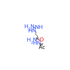 CC(=O)[C@H](C)NC(=O)[C@@H](N)CCCNC(=N)N